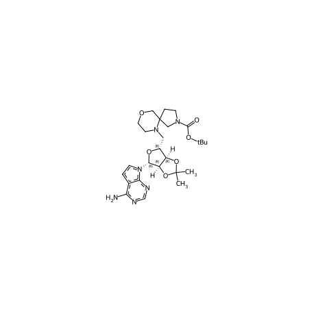 CC(C)(C)OC(=O)N1CCC2(COCCN2C[C@H]2O[C@@H](n3ccc4c(N)ncnc43)[C@@H]3OC(C)(C)O[C@@H]32)C1